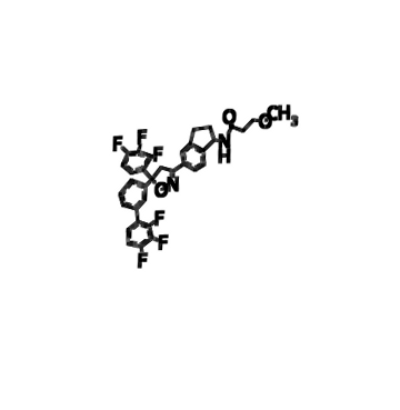 COCCC(=O)NC1CCc2cc(C3=NOC(c4cccc(-c5ccc(F)c(F)c5F)c4)(c4ccc(F)c(F)c4F)C3)ccc21